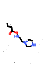 C/C=C/C(=O)ONCCN1CCNCC1